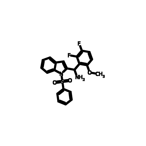 COc1ccc(F)c(F)c1C(N)c1cc2ccccc2n1S(=O)(=O)c1ccccc1